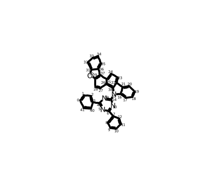 c1ccc(-c2nc(-c3ccccc3)nc(-n3c4ccccc4c4ccc5c(ccc6oc7ccccc7c65)c43)n2)cc1